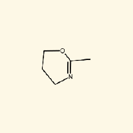 CC1=NCCCO1